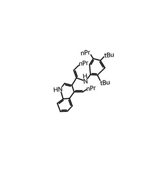 CCC/C=C(\Nc1cc(CCC)c(C(C)(C)C)cc1C(C)(C)C)C1=CNc2ccccc2/C1=C/CCC